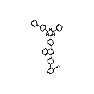 N#Cc1ccccc1-c1ccc(-c2ccc(-c3ccc(-c4nc(-c5ccccc5)nc(-c5ccc(-c6ccccc6)cc5)n4)cc3)c3ccccc23)cc1